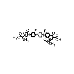 CC(=O)C(N)[C@@H]1CN(c2ccc(N3CCN(c4c(F)cc5c(=O)c(C(=O)O)cn6c5c4OCN6C)CC3)c(F)c2)C(=O)O1